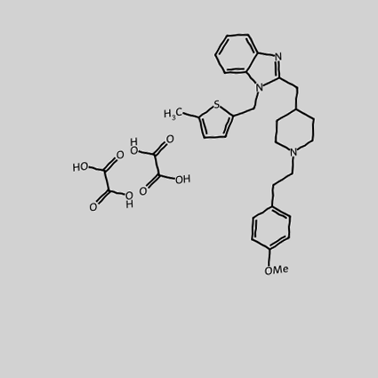 COc1ccc(CCN2CCC(Cc3nc4ccccc4n3Cc3ccc(C)s3)CC2)cc1.O=C(O)C(=O)O.O=C(O)C(=O)O